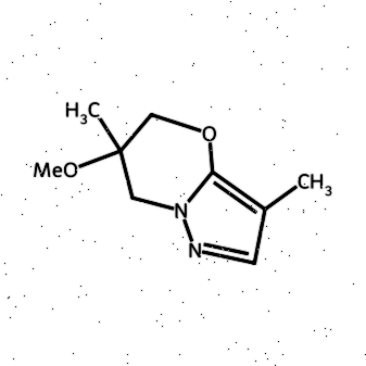 COC1(C)COc2c(C)cnn2C1